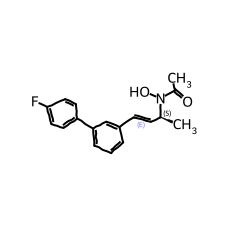 CC(=O)N(O)[C@@H](C)/C=C/c1cccc(-c2ccc(F)cc2)c1